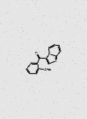 COc1ccccc1C(=O)c1cnc2ccccn12